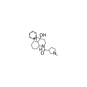 CN1CCC(C(=O)N2CC[C@@](O)(c3ccccc3)[C@@H]3CCCC[C@@H]32)C1